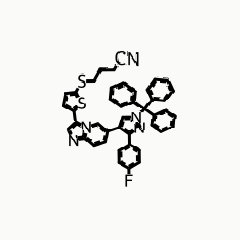 N#CCCCSc1ccc(-c2cnc3ccc(-c4cn(C(c5ccccc5)(c5ccccc5)c5ccccc5)nc4-c4ccc(F)cc4)cn23)s1